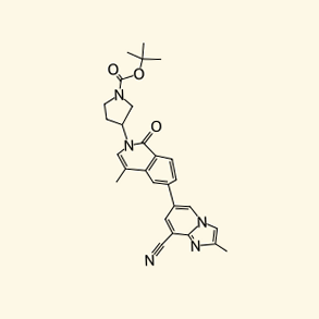 Cc1cn2cc(-c3ccc4c(=O)n(C5CCN(C(=O)OC(C)(C)C)C5)cc(C)c4c3)cc(C#N)c2n1